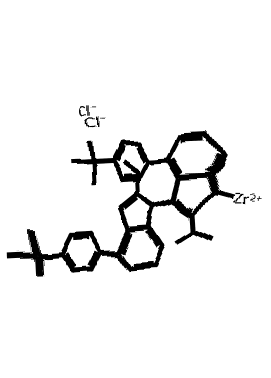 CCC1=Cc2c(-c3ccc(C(C)(C)C)cc3)cccc2C1C1=C(C(C)C)[CH]([Zr+2])c2cccc(-c3ccc(C(C)(C)C)cc3)c21.[Cl-].[Cl-]